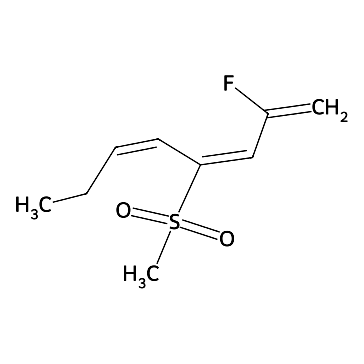 C=C(F)/C=C(\C=C/CC)S(C)(=O)=O